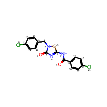 O=C(Nc1nc(=O)n(Cc2ccc(Cl)cc2)s1)c1ccc(Cl)cc1